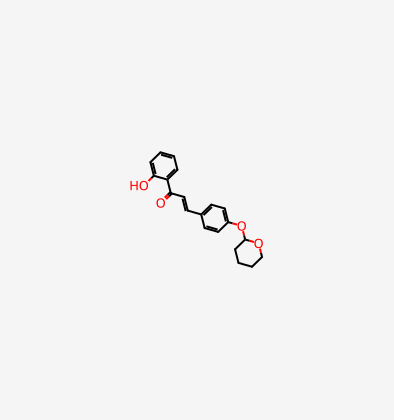 O=C(C=Cc1ccc(OC2CCCCO2)cc1)c1ccccc1O